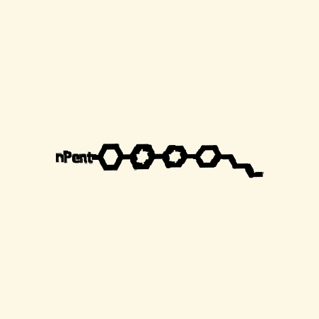 C/C=C/CCC1=CCC(c2ccc(-c3ccc(C4CCC(CCCCC)CC4)cc3)cc2)CC1